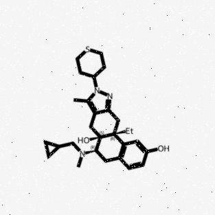 CC[C@]12Cc3nn(C4CCSCC4)c(C)c3C[C@@]1(O)[C@H](N(C)CC1CC1)Cc1ccc(O)cc12